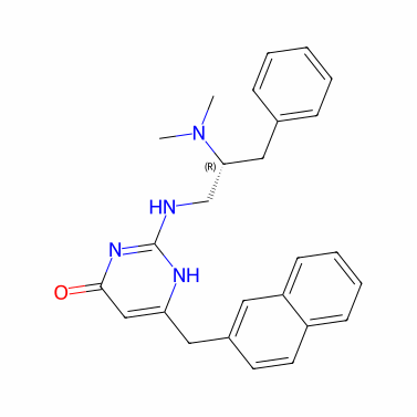 CN(C)[C@@H](CNc1nc(=O)cc(Cc2ccc3ccccc3c2)[nH]1)Cc1ccccc1